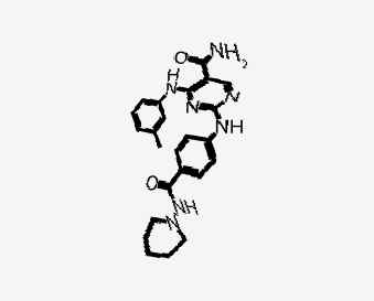 Cc1cccc(Nc2nc(Nc3ccc(C(=O)NN4CCCCC4)cc3)ncc2C(N)=O)c1